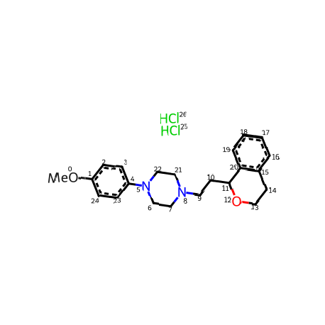 COc1ccc(N2CCN(CCC3OCCc4ccccc43)CC2)cc1.Cl.Cl